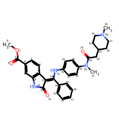 COC(=O)c1ccc2c(c1)NC(=O)C2=C(Nc1ccc(N(C)C(=O)CC2CCN(C)CC2)cc1)c1ccccc1